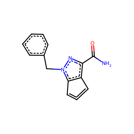 NC(=O)c1nn(Cc2ccccc2)c2c1C=C=C2